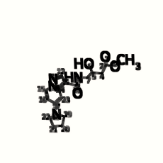 COC(=O)CC(O)CNC(=O)c1cnn2ccc(N3CCCC3)cc12